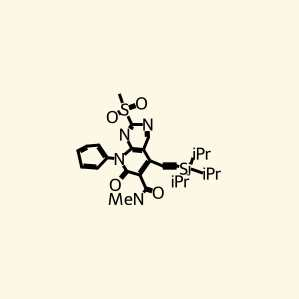 CNC(=O)c1c(C#C[Si](C(C)C)(C(C)C)C(C)C)c2cnc(S(C)(=O)=O)nc2n(-c2ccccc2)c1=O